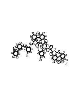 Cc1ccc(SCCC(Oc2ccc(OC(F)(F)F)cc2)C(=O)OC(CC(Oc2ccc3oc4ccccc4c3c2)C(=O)OC(=O)CCCSc2ccc(C)cc2Oc2ccc3oc4ccccc4c3c2)Sc2ccc(C)cc2C)cc1